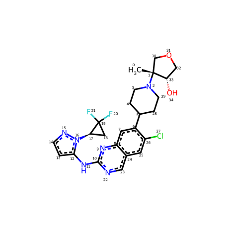 C[C@@]1(N2CCC(c3cc4nc(Nc5ccnn5[C@@H]5CC5(F)F)ncc4cc3Cl)CC2)COC[C@@H]1O